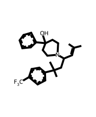 CC(C)=CC(CC(C)(C)c1ccc(C(F)(F)F)cc1)N1CCC(O)(c2ccccc2)CC1